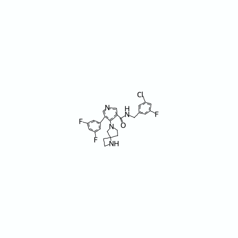 O=C(NCc1cc(F)cc(Cl)c1)c1cncc(-c2cc(F)cc(F)c2)c1N1CCC2(CCN2)C1